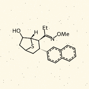 CCC(=NOC)[C@@H]1[C@@H]2SC(CC2O)C[C@H]1c1ccc2ccccc2c1